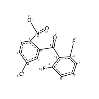 O=C(c1cc(Cl)ccc1[N+](=O)[O-])c1c(F)cccc1F